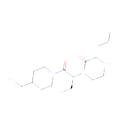 CC(C)CC[C@@H]1NCCN([C@@H](CC(C)C)C(=O)N2CCC(CC#N)CC2)C1=O